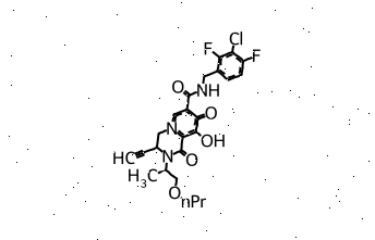 C#CC1Cn2cc(C(=O)NCc3ccc(F)c(Cl)c3F)c(=O)c(O)c2C(=O)N1[C@H](C)COCCC